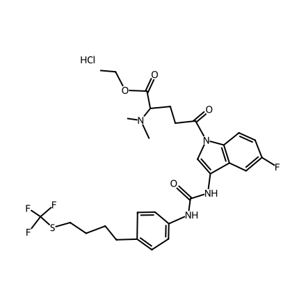 CCOC(=O)C(CCC(=O)n1cc(NC(=O)Nc2ccc(CCCCSC(F)(F)F)cc2)c2cc(F)ccc21)N(C)C.Cl